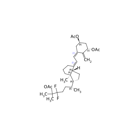 C=C1/C(=C\C=C2/CCC[C@]3(C)[C@@H]([C@H](C)CCC(F)(F)C(C)(C)OC(C)=O)CC[C@@H]23)C[C@@H](OC(C)=O)C[C@@H]1OC(C)=O